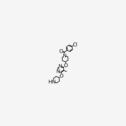 Cc1c(OC2CCNCC2)ncnc1OC1CCN(C(=O)c2ccc(Cl)cc2)CC1